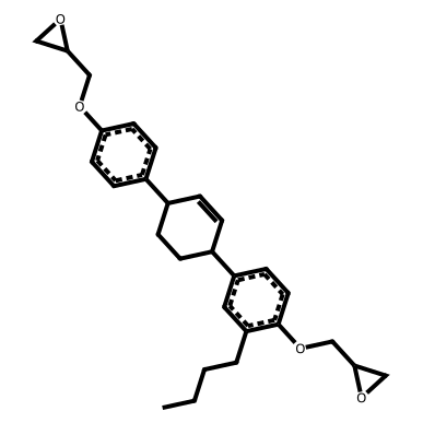 CCCCc1cc(C2C=CC(c3ccc(OCC4CO4)cc3)CC2)ccc1OCC1CO1